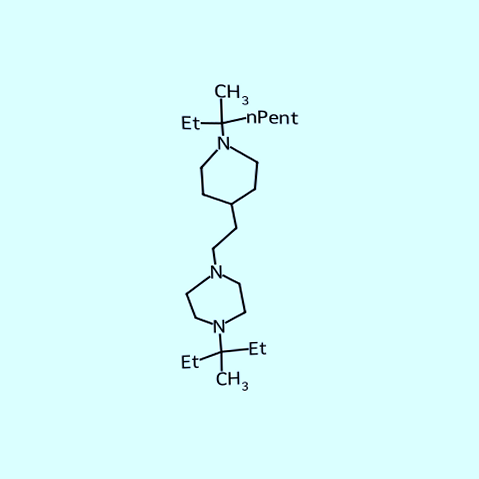 CCCCCC(C)(CC)N1CCC(CCN2CCN(C(C)(CC)CC)CC2)CC1